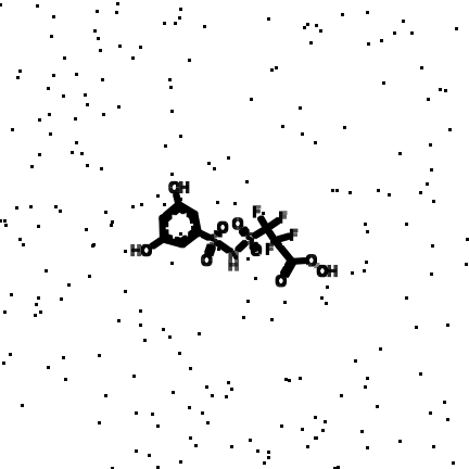 O=C(OO)C(F)(F)C(F)(F)S(=O)(=O)NS(=O)(=O)c1cc(O)cc(O)c1